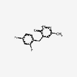 Cc1cc(Cc2ccc(Br)cc2F)c(=O)[nH]n1